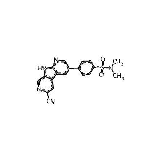 CN(C)S(=O)(=O)c1ccc(-c2cnc3[nH]c4cnc(C#N)cc4c3c2)cc1